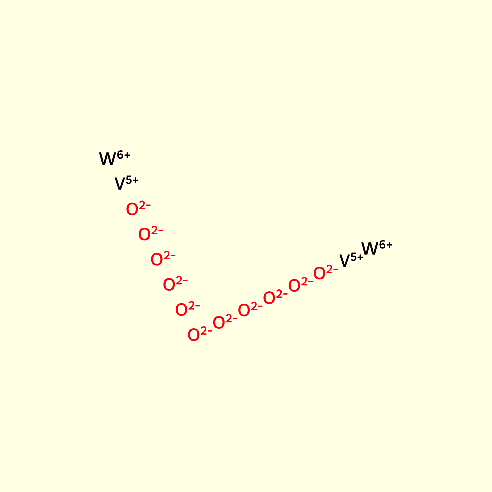 [O-2].[O-2].[O-2].[O-2].[O-2].[O-2].[O-2].[O-2].[O-2].[O-2].[O-2].[V+5].[V+5].[W+6].[W+6]